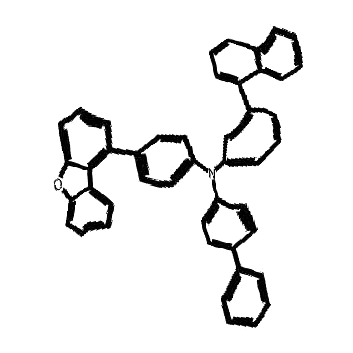 c1ccc(-c2ccc(N(c3ccc(-c4cccc5oc6ccccc6c45)cc3)c3cccc(-c4cccc5ccccc45)c3)cc2)cc1